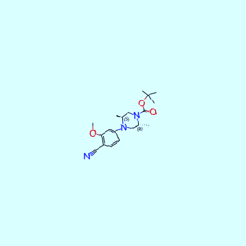 COc1cc(N2C[C@@H](C)N(C(=O)OC(C)(C)C)C[C@@H]2C)ccc1C#N